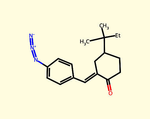 CCC(C)(C)C1CCC(=O)C(=Cc2ccc(N=[N+]=[N-])cc2)C1